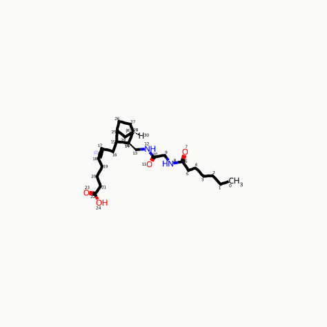 CCCCCCC(=O)NCC(=O)NC[C@H]1C(C/C=C\CCCC(=O)O)C2CC[C@@H]1C2